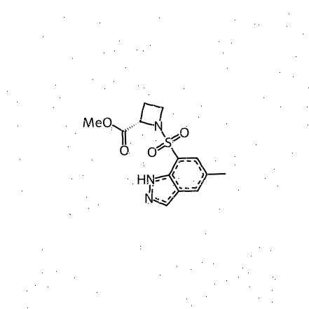 COC(=O)[C@@H]1CCN1S(=O)(=O)c1cc(C)cc2cn[nH]c12